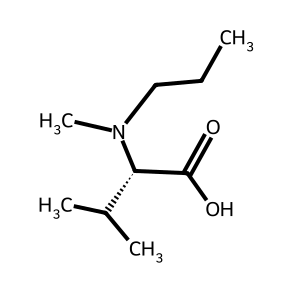 CCCN(C)[C@H](C(=O)O)C(C)C